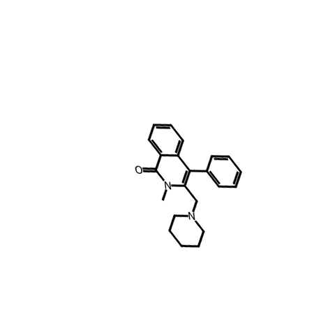 Cn1c(CN2CCCCC2)c(-c2ccccc2)c2ccccc2c1=O